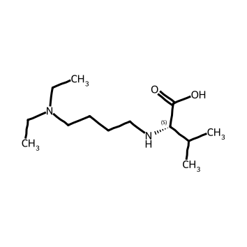 CCN(CC)CCCCN[C@H](C(=O)O)C(C)C